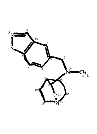 CN(Cc1ccc2sncc2c1)C1CN2CCC1CC2